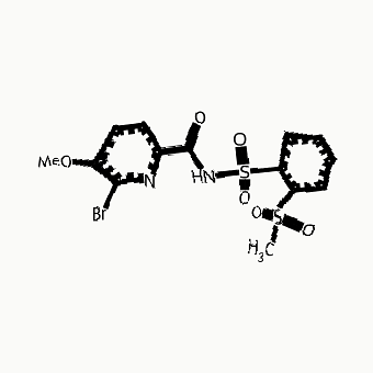 COc1ccc(C(=O)NS(=O)(=O)c2ccccc2S(C)(=O)=O)nc1Br